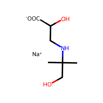 CC(C)(CO)NCC(O)C(=O)[O-].[Na+]